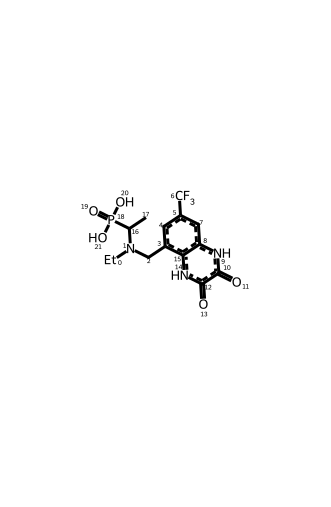 CCN(Cc1cc(C(F)(F)F)cc2[nH]c(=O)c(=O)[nH]c12)C(C)P(=O)(O)O